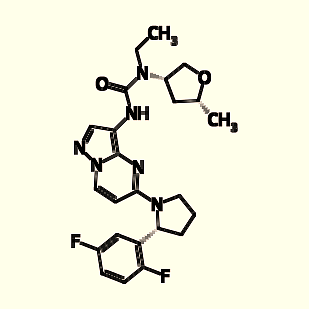 CCN(C(=O)Nc1cnn2ccc(N3CCC[C@@H]3c3cc(F)ccc3F)nc12)[C@@H]1CO[C@H](C)C1